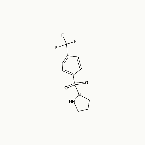 O=S(=O)(c1ccc(C(F)(F)F)cc1)N1CCCN1